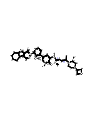 C=N/C(=C\C=C(/C)N1CCN(C2COC2)C[C@@H]1C)Nc1cc(-c2ccnc(-n3ncc4c5c(sc4c3=O)CCCC5)c2C=O)cn(C)c1=O